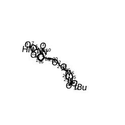 Cn1c(=O)n(C2CCC(=O)NC2=O)c2cccc(C#CCOCCOCCN3CCN(C(=O)OC(C)(C)C)CC3)c21